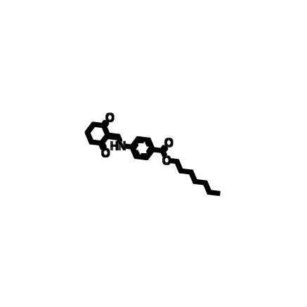 CCCCCCCOC(=O)c1ccc(NC=C2C(=O)CCCC2=O)cc1